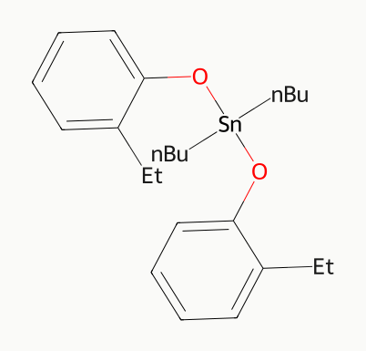 CCC[CH2][Sn]([CH2]CCC)([O]c1ccccc1CC)[O]c1ccccc1CC